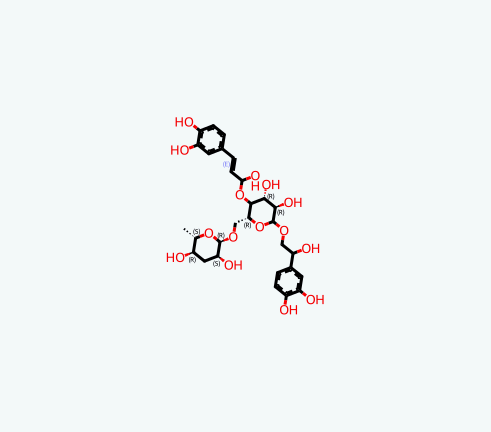 C[C@@H]1O[C@@H](OC[C@H]2OC(OCC(O)c3ccc(O)c(O)c3)[C@H](O)[C@@H](O)C2OC(O)/C=C/c2ccc(O)c(O)c2)[C@@H](O)C[C@H]1O